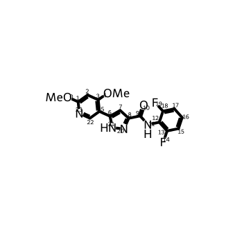 COc1cc(OC)c(-c2cc(C(=O)Nc3c(F)cccc3F)n[nH]2)cn1